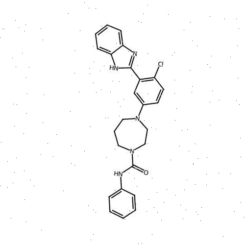 O=C(Nc1ccccc1)N1CCCN(c2ccc(Cl)c(-c3nc4ccccc4[nH]3)c2)CC1